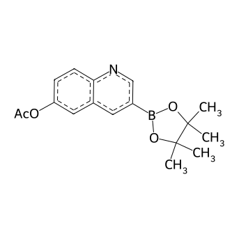 CC(=O)Oc1ccc2ncc(B3OC(C)(C)C(C)(C)O3)cc2c1